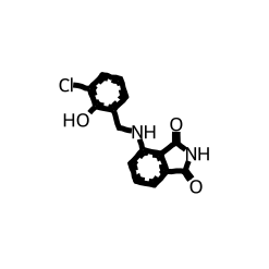 O=C1NC(=O)c2c(NCc3cccc(Cl)c3O)cccc21